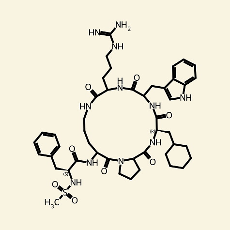 CS(=O)(=O)N[C@@H](Cc1ccccc1)C(=O)NC1CCCNC(=O)C(CCCNC(=N)N)NC(=O)C(Cc2c[nH]c3ccccc23)NC(=O)[C@@H](CC2CCCCC2)NC(=O)C2CCCN2C1=O